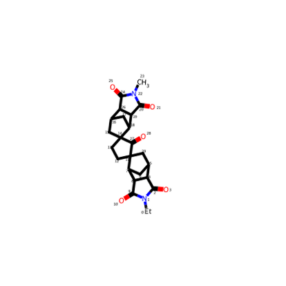 CCN1C(=O)C2C3CC(C2C1=O)C1(CCC2(CC4CC2C2C(=O)N(C)C(=O)C42)C1=O)C3